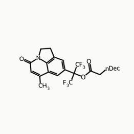 CCCCCCCCCCCC(=O)OC(c1cc2c3c(c1)c(C)cc(=O)n3CC2)(C(F)(F)F)C(F)(F)F